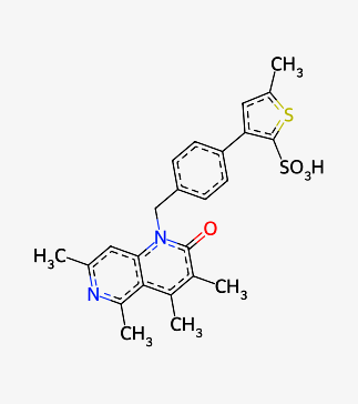 Cc1cc2c(c(C)n1)c(C)c(C)c(=O)n2Cc1ccc(-c2cc(C)sc2S(=O)(=O)O)cc1